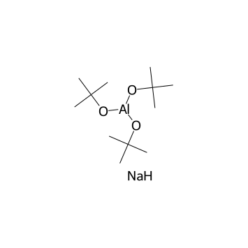 CC(C)(C)[O][Al]([O]C(C)(C)C)[O]C(C)(C)C.[NaH]